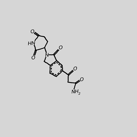 NC(=O)CC(=O)c1ccc2c(c1)C(=O)N(C1CCC(=O)NC1=O)C2